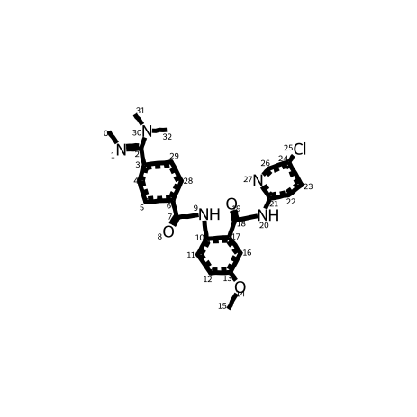 C/N=C(/c1ccc(C(=O)Nc2ccc(OC)cc2C(=O)Nc2ccc(Cl)cn2)cc1)N(C)C